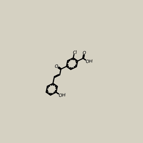 O=C(/C=C/c1cccc(O)c1)c1ccc(C(=O)O)c(Cl)c1